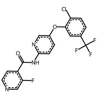 O=C(Nc1ccc(Oc2cc(C(F)(F)F)ccc2Cl)cn1)c1ccncc1F